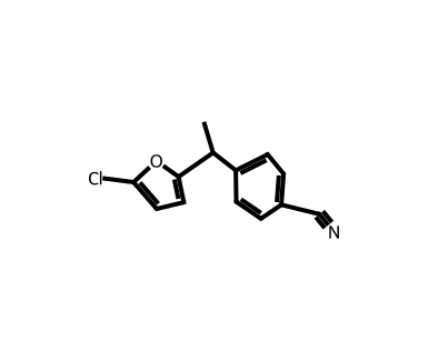 CC(c1ccc(C#N)cc1)c1ccc(Cl)o1